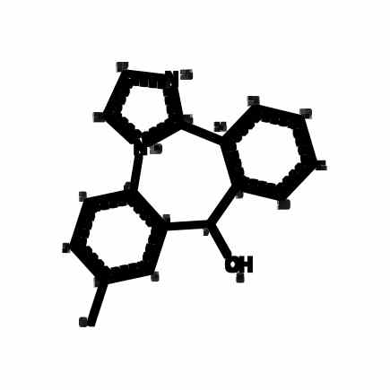 Cc1ccc2c(c1)C(O)c1ccccc1-c1nccn1-2